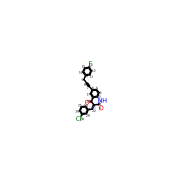 O=C1Nc2ccc(C#CCc3ccc(F)cc3)cc2C(=O)/C1=C\c1cccc(Cl)c1